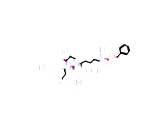 CCC1C(=O)N(C(CCCCNC(=O)OCc2ccccc2)C(=O)O)C(=O)N([C@@H](CCC(=O)O)C(=O)O)C1=O